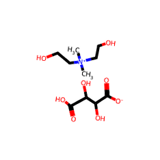 C[N+](C)(CCO)CCO.O=C([O-])C(O)C(O)C(=O)O